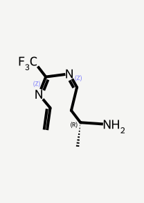 C=C/N=C(\N=C/C[C@@H](C)N)C(F)(F)F